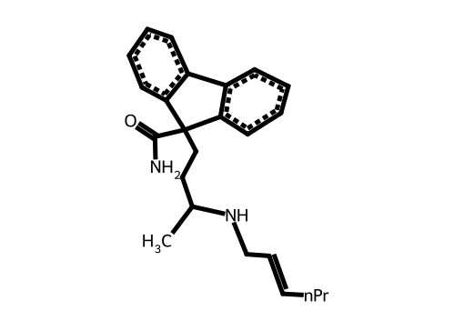 CCCC=CCNC(C)CCC1(C(N)=O)c2ccccc2-c2ccccc21